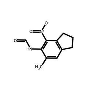 Cc1cc2c(c([N+](=O)[O-])c1NC=O)CCC2